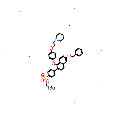 CC(C)(C)COS(=O)(=O)c1ccc(-c2ccc3cc(OCc4ccccc4)ccc3c2Oc2ccc(OCCN3CCCCC3)cc2)cc1